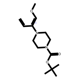 C=C/C(=C\OC)N1CCN(C(=O)OC(C)(C)C)CC1